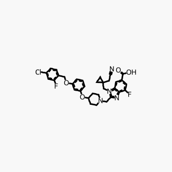 N#CCC1(Cn2c(CN3CCC(Oc4cccc(OCc5ccc(Cl)cc5F)c4)CC3)nc3c(F)cc(C(=O)O)cc32)CC1